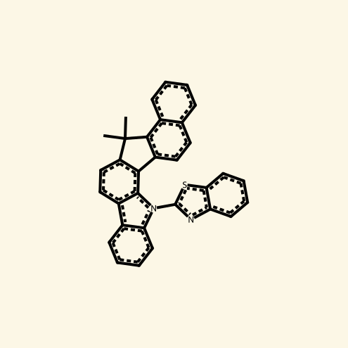 CC1(C)c2ccc3c4ccccc4n(-c4nc5ccccc5s4)c3c2-c2ccc3ccccc3c21